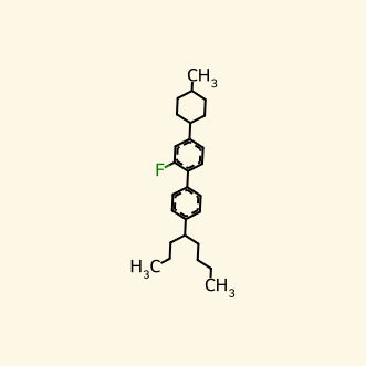 CCCCC(CCC)c1ccc(-c2ccc(C3CCC(C)CC3)cc2F)cc1